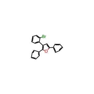 Brc1ccccc1-c1cc(-c2ccccc2)oc1-c1ccccc1